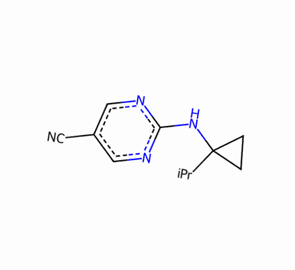 CC(C)C1(Nc2ncc(C#N)cn2)CC1